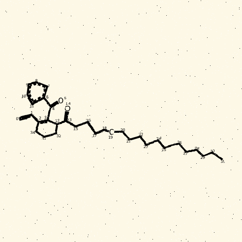 C=CC1=C(C(=O)c2ccccc2)C(C(=O)CCCCCCCCCCCCCCCCC)CCC1